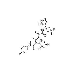 Cc1c(C(=O)Nc2ccc(F)cc2)c2n(c1C(=O)C(=O)NC1(c3cnn[nH]3)CC(F)(F)C1)C[C@@H]1C[C@H]21